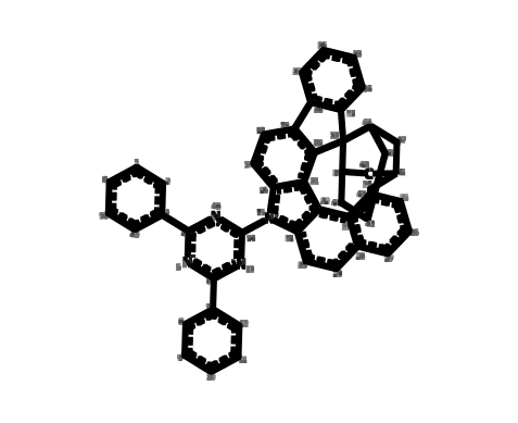 c1ccc(-c2nc(-c3ccccc3)nc(-n3c4ccc5c(c4c4c6ccccc6ccc43)C3(c4ccccc4-5)C4CC5CC(C4)CC3C5)n2)cc1